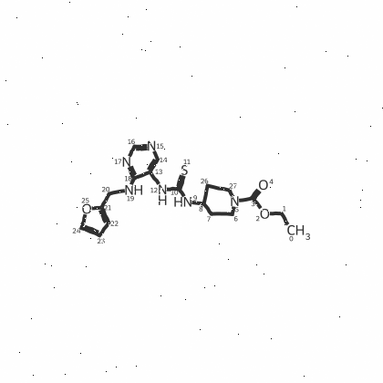 CCOC(=O)N1CCC(NC(=S)Nc2cncnc2NCc2ccco2)CC1